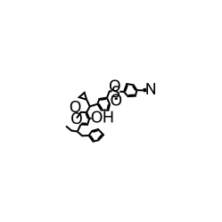 CCC(Cc1ccccc1)c1cc(O)c(C(c2cccc(CS(=O)(=O)c3ccc(C#N)cc3)c2)C2CC2)c(=O)o1